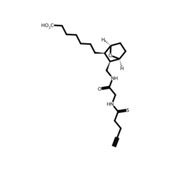 C#CCCC(=S)NCC(=O)NC[C@H]1[C@@H](CCCCCCC(=O)O)[C@H]2CC[C@@H]1O2